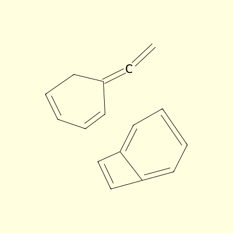 C1=Cc2ccccc21.C=C=C1C=CC=CC1